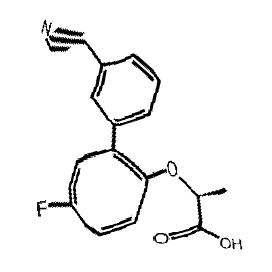 C[C@H](Oc1ccc(F)cc1-c1cccc(C#N)c1)C(=O)O